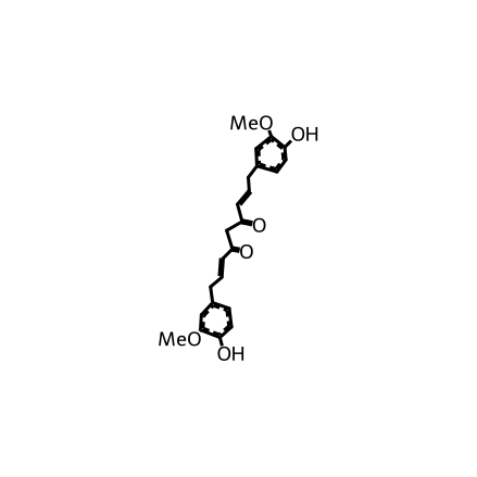 COc1cc(C/C=C/C(=O)CC(=O)/C=C/Cc2ccc(O)c(OC)c2)ccc1O